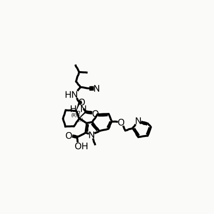 CC(C)CC(C#N)NC(=O)[C@@H]1CCCC[C@@]1(C(N)=O)c1c(C(=O)O)n(C)c2cc(OCc3ccccn3)ccc12